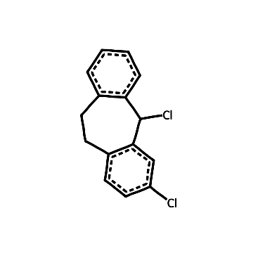 Clc1ccc2c(c1)C(Cl)c1ccccc1CC2